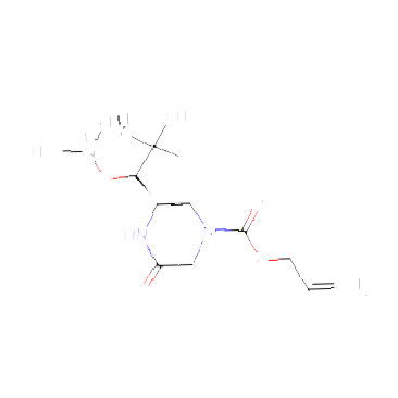 C=CCOC(=O)N1CC(=O)N[C@@H](C(O[SiH](C)C)C(C)(C)C)C1